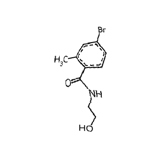 Cc1cc(Br)ccc1C(=O)NCCO